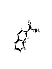 NC(=O)c1ccc2cccnc2n1